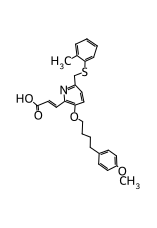 COc1ccc(CCCCOc2ccc(CSc3ccccc3C)nc2C=CC(=O)O)cc1